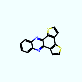 c1ccc2nc3c(nc2c1)c1ccsc1c1ccsc13